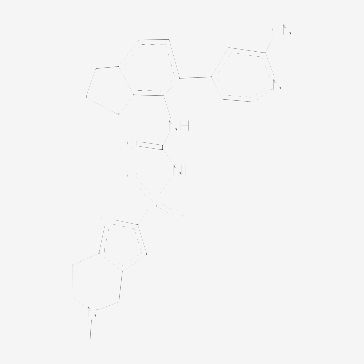 CN1CCc2oc(S(=O)(=O)NC(=O)Nc3c(-c4ccnc(C#N)c4)ccc4c3CCC4)cc2C1